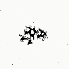 Cc1c(N2CC3=CC(F)(F)C(O)C3C2)c(F)c(C(F)F)c2c(=O)[nH]c(=O)n(C3CC3)c12